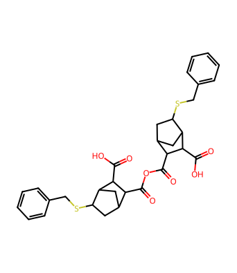 O=C(OC(=O)C1C2CC(SCc3ccccc3)C(C2)C1C(=O)O)C1C2CC(SCc3ccccc3)C(C2)C1C(=O)O